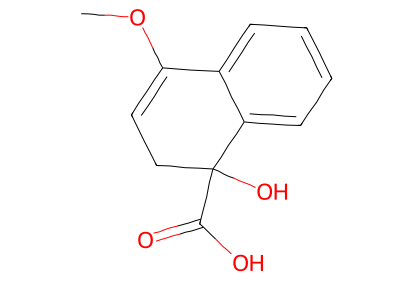 COC1=CCC(O)(C(=O)O)c2ccccc21